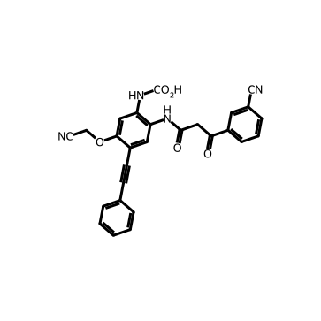 N#CCOc1cc(NC(=O)O)c(NC(=O)CC(=O)c2cccc(C#N)c2)cc1C#Cc1ccccc1